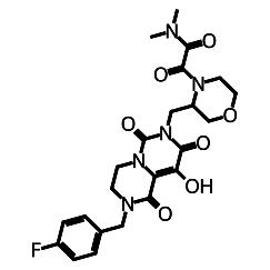 CN(C)C(=O)C(=O)N1CCOCC1Cn1c(=O)c(O)c2n(c1=O)CCN(Cc1ccc(F)cc1)C2=O